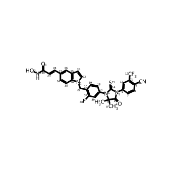 CC1(C)C(=O)N(c2ccc(C#N)c(C(F)(F)F)c2)C(=S)N1c1ccc(Cn2ccc3cc(/C=C/C(=O)NO)ccc32)c(F)c1